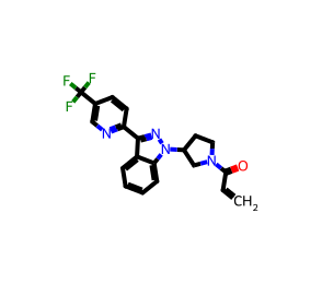 C=CC(=O)N1CCC(n2nc(-c3ccc(C(F)(F)F)cn3)c3ccccc32)C1